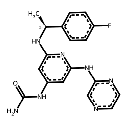 C[C@H](Nc1cc(NC(N)=O)cc(Nc2cnccn2)n1)c1ccc(F)cc1